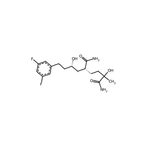 CC(O)(CC[C@H](C[C@@H](O)[CH]Cc1cc(F)cc(F)c1)C(N)=O)C(N)=O